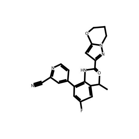 CC(C)c1cc(F)cc(-c2ccnc(C#N)c2)c1NC(=O)c1cc2n(n1)CCCO2